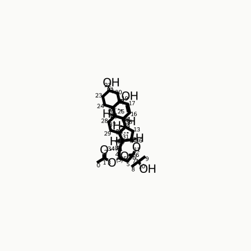 CC(=O)O[C@H]1C[C@]2(C(C)(C)O)O[C@H]3C[C@H]4[C@@H]5C=C[C@@]6(O)C[C@@H](O)CC[C@]6(C)[C@H]5CC[C@]4(C)[C@H]3[C@@]1(C)O2